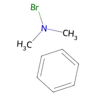 CN(C)Br.c1ccccc1